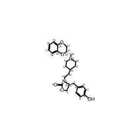 O=C1OC[C@H](Cc2ccc(O)cc2)N1CCC1CCN(C[C@H]2COc3ccccc3O2)CC1